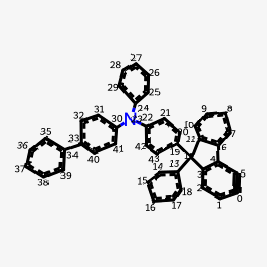 c1ccc2c(c#1)-c1ccccc1C2(c1ccccc1)c1ccc(N(c2ccccc2)c2ccc(-c3ccccc3)cc2)cc1